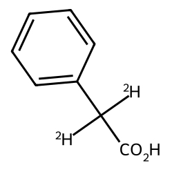 [2H]C([2H])(C(=O)O)c1ccccc1